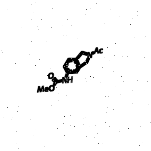 COC(=O)Nc1ccc2c(c1)CN(C(C)=O)C2